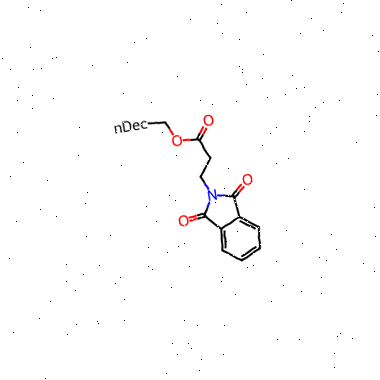 CCCCCCCCCCCOC(=O)CCN1C(=O)c2ccccc2C1=O